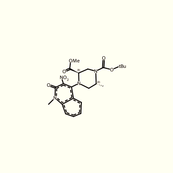 COC(=O)[C@H]1CN(C(=O)OC(C)(C)C)[C@H](C)CN1c1c([N+](=O)[O-])c(=O)n(C)c2ccccc12